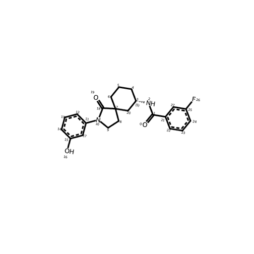 O=C(N[C@H]1CCCC2(CCN(c3cccc(O)c3)C2=O)C1)c1cccc(F)c1